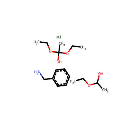 CCOC(C)(O)OCC.CCOC(C)O.Cl.NCc1ccccc1